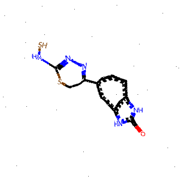 O=c1[nH]c2ccc(C3=NN=C(NS)SC3)cc2[nH]1